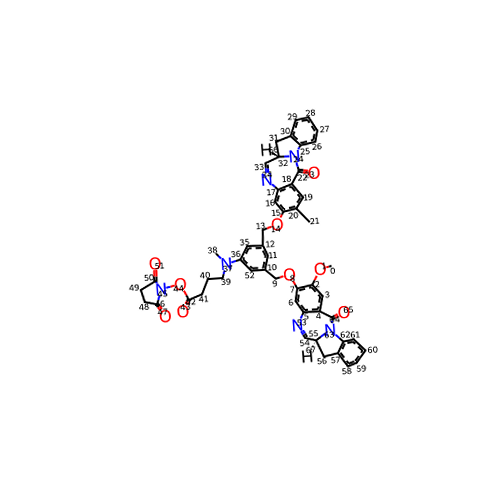 COc1cc2c(cc1OCc1cc(COc3cc4c(cc3C)C(=O)N3c5ccccc5C[C@H]3C=N4)cc(N(C)CCCC(=O)ON3C(=O)CCC3=O)c1)N=C[C@@H]1Cc3ccccc3N1C2=O